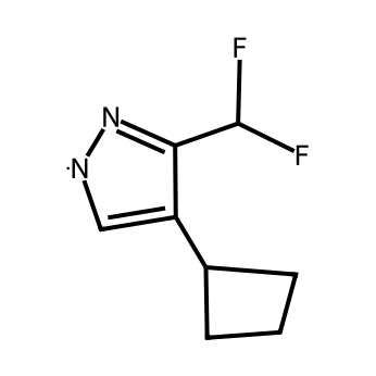 FC(F)C1=N[N]C=C1C1CCC1